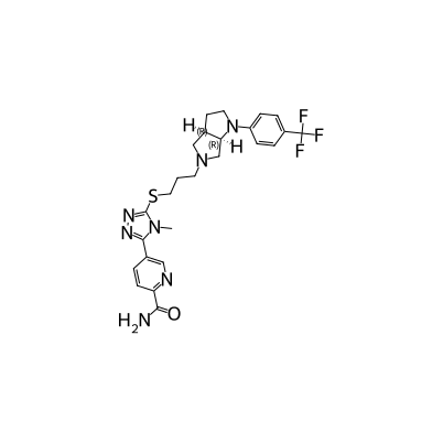 Cn1c(SCCCN2C[C@H]3CCN(c4ccc(C(F)(F)F)cc4)[C@H]3C2)nnc1-c1ccc(C(N)=O)nc1